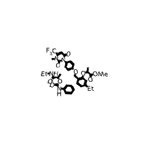 CCNC(=O)C(C)OC(=O)Nc1ccccc1.CCc1ccc(COc2ccc(-n3c(=O)cc(C(F)(F)F)n(C)c3=O)cc2)c(OC(C)C(=O)OC)c1